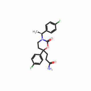 C[C@@H](c1ccc(F)cc1)N1CCC(CCC(N)=O)(c2ccc(F)cc2)OC1=O